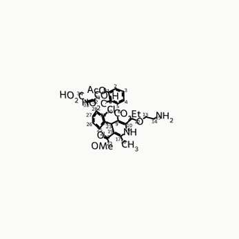 CC(=O)Oc1ccccc1C(=O)O.CCOC(=O)C1=C(COCCN)NC(C)=C(C(=O)OC)C1c1ccccc1Cl.O=C(O)/C=C\C(=O)O